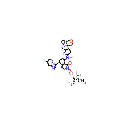 CN1Cc2nc(Nc3ccc(-c4cnc5cc(F)ccn45)c4ccn(COCC[Si](C)(C)C)c(=O)c34)ccc2C12CCOCC2